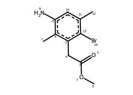 COC(=O)Cc1c(C)c(N)cc(C)c1Br